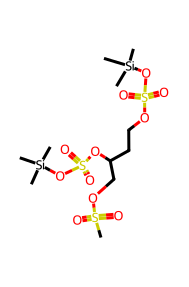 C[Si](C)(C)OS(=O)(=O)OCCC(COS(C)(=O)=O)OS(=O)(=O)O[Si](C)(C)C